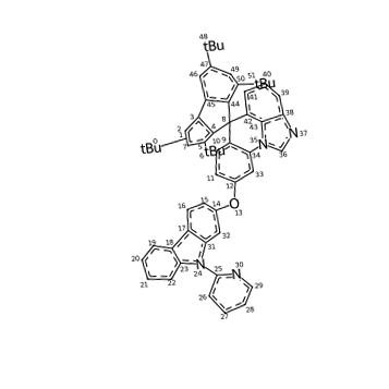 CC(C)(C)c1cc2c(c(C(C)(C)C)c1)C1(c3ccc(Oc4ccc5c6ccccc6n(-c6ccccn6)c5c4)cc3-n3cnc4cccc1c43)c1c-2cc(C(C)(C)C)cc1C(C)(C)C